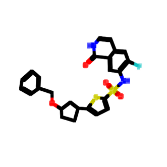 O=c1[nH]ccc2cc(F)c(NS(=O)(=O)c3ccc(C4CCC(OCc5ccccc5)C4)s3)cc12